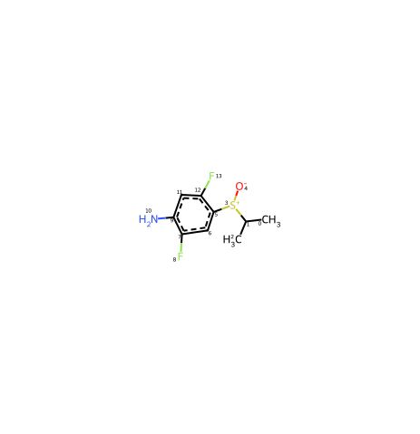 CC(C)[S+]([O-])c1cc(F)c(N)cc1F